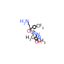 C[C@@H]1C[C@@](C)(O)c2ncnc(N3CCN(C(=O)[C@H](CCCCN)c4ccc(C(F)(F)F)cc4)CC3)c21